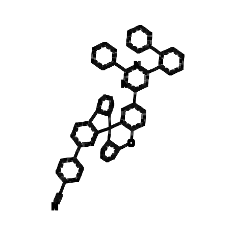 N#Cc1ccc(-c2ccc3c(c2)C2(c4ccccc4Oc4ccc(-c5cc(-c6ccccc6-c6ccccc6)nc(-c6ccccc6)n5)cc42)c2ccccc2-3)cc1